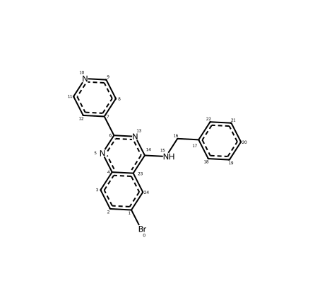 Brc1ccc2nc(-c3ccncc3)nc(NCc3ccccc3)c2c1